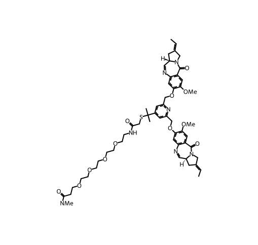 C/C=C1\C[C@H]2C=Nc3cc(OCc4cc(C(C)(C)SCC(=O)NCCOCCOCCOCCOCCC(=O)NC)cc(COc5cc6c(cc5OC)C(=O)N5C/C(=C/C)C[C@H]5C=N6)n4)c(OC)cc3C(=O)N2C1